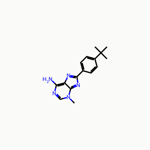 Cn1cnc(N)c2nc(-c3ccc(C(C)(C)C)cc3)nc1-2